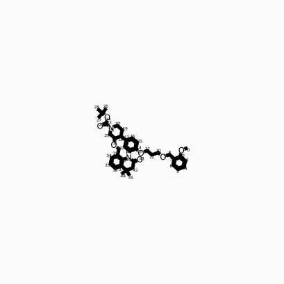 COc1ccccc1COCCCOc1ccc(C2CCN(C(=O)OC(C)(C)C)CC2OCc2cccc3c2NC(=O)CC3(C)C)cc1